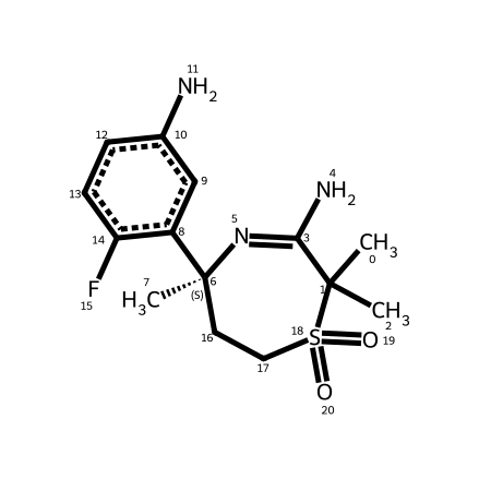 CC1(C)C(N)=N[C@](C)(c2cc(N)ccc2F)CCS1(=O)=O